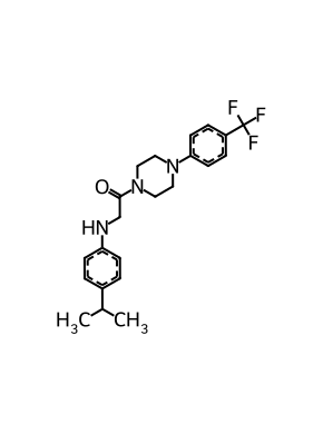 CC(C)c1ccc(NCC(=O)N2CCN(c3ccc(C(F)(F)F)cc3)CC2)cc1